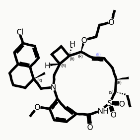 CC[C@H]1[C@H](C)C/C=C/[C@H](OCCOC)[C@@H]2CC[C@H]2CN(C[C@]2(C)CCCc3cc(Cl)ccc32)c2cc(ccc2OC)C(=O)NS1(=O)=O